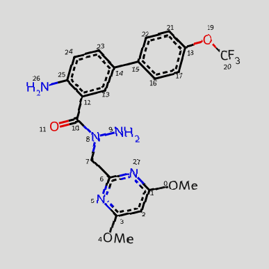 COc1cc(OC)nc(CN(N)C(=O)c2cc(-c3ccc(OC(F)(F)F)cc3)ccc2N)n1